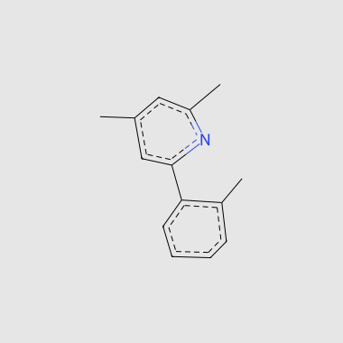 Cc1cc(C)nc(-c2ccccc2C)c1